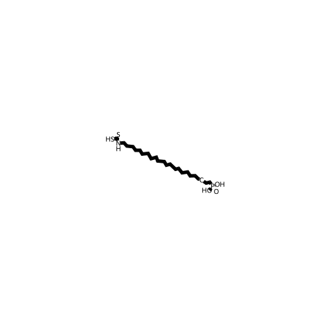 O=P(O)(O)CCCCCCCCCCCCCCCCCCCCCCCNC(=S)S